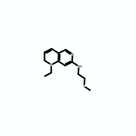 CCN1CC=Cc2cnc(NCCSC)cc21